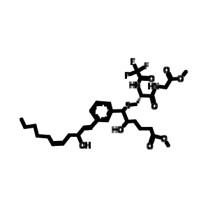 CCCCC/C=C\CC(O)/C=C/c1cccc(C(SC[C@H](NC(=O)C(F)(F)F)C(=O)NCC(=O)OC)C(O)CCCC(=O)OC)c1